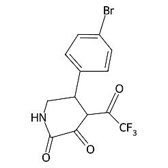 O=C1NCC(c2ccc(Br)cc2)C(C(=O)C(F)(F)F)C1=O